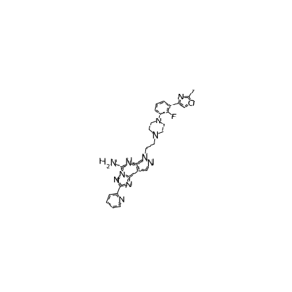 Cc1nc(-c2cccc(N3CCN(CCn4ncc5c4nc(N)n4nc(-c6ccccn6)nc54)CC3)c2F)co1